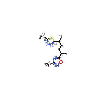 CC(C)c1noc(C(C)CCC(C)c2nnc(C(C)C)s2)n1